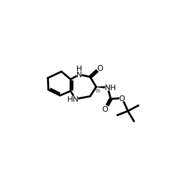 CC(C)(C)OC(=O)N[C@H]1CNC2=C(CCC=C2)NC1=O